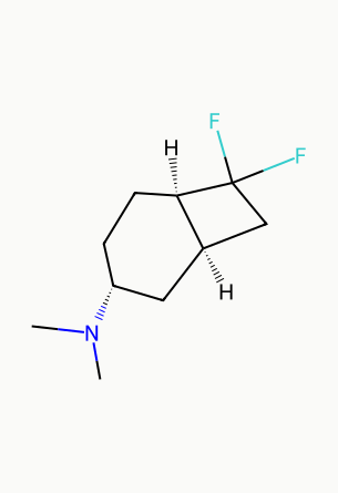 CN(C)[C@@H]1CC[C@@H]2[C@H](C1)CC2(F)F